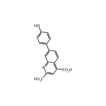 O=C(O)c1cc(C(=O)O)c2ccc(-c3ccc(O)cc3)cc2n1